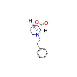 O=C1O[C@@H]2CCN(CCc3ccccc3)[C@H]1C2